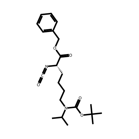 CC(C)N(CCCC[C@H](N=C=O)C(=O)OCc1ccccc1)C(=O)OC(C)(C)C